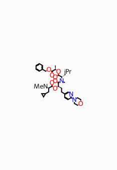 CN[C@@H](CC1CC1)C(=O)O[C@H](CCc1ccc(N2CCOCC2)nc1)C(=O)N(C)[C@@H](CC(C)C)C(=O)O[C@H](C)C(=O)OCc1ccccc1